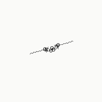 CCCCCCCCCCCON1C(C)(C)CC(OC(=O)OC2CC(C)(C)N(OCCCCCCCCCCC)C(C)(C)C2)CC1(C)C